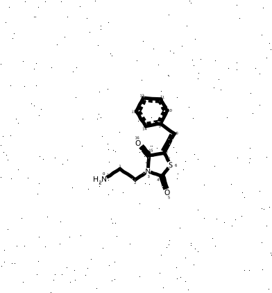 NCCN1C(=O)S/C(=C/c2ccccc2)C1=O